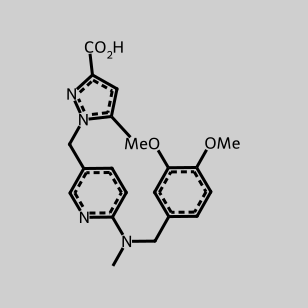 COc1ccc(CN(C)c2ccc(Cn3nc(C(=O)O)cc3C)cn2)cc1OC